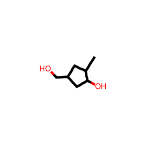 CC1CC(CO)CC1O